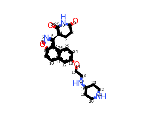 O=C1CC[C@@H](c2noc3ccc4cc(OCCNC5CCNCC5)ccc4c23)C(=O)N1